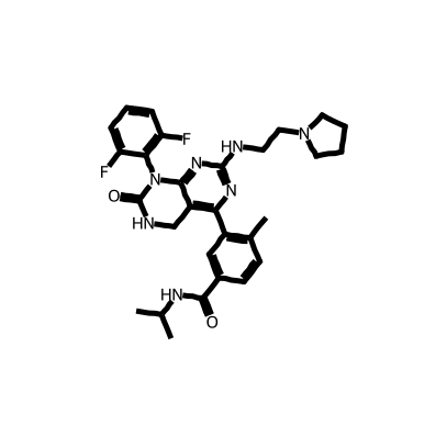 Cc1ccc(C(=O)NC(C)C)cc1-c1nc(NCCN2CCCC2)nc2c1CNC(=O)N2c1c(F)cccc1F